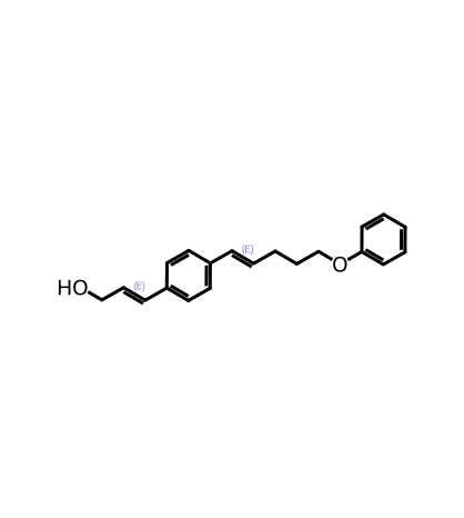 OC/C=C/c1ccc(/C=C/CCCOc2ccccc2)cc1